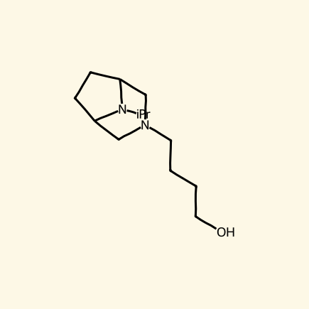 CC(C)N1C2CCC1CN(CCCCO)C2